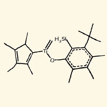 [CH2]=[Ti]([O]c1c(C)c(C)c(C)c(C(C)(C)C)c1[SiH3])[C]1=C(C)C(C)=C(C)C1C